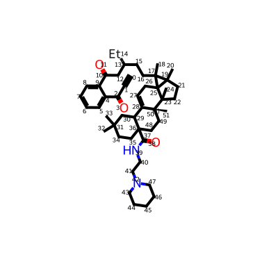 C#CC(=O)c1ccccc1C(=O)CC(CC)CCC1(C)C2(C)CCC3(C)C12CC=C1C2CC(C)(C)CCC2(C(=O)NCCN2CCCCC2)CC[C@]13C